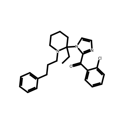 CCC1(n2ccnc2C(=O)c2ccccc2Cl)CCCCN1CCCc1ccccc1